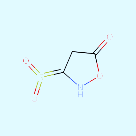 O=C1CC(=S(=O)=O)NO1